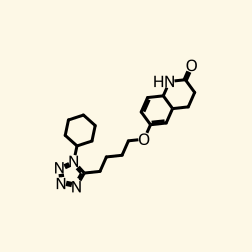 O=C1CCC2C=C(OCCCCc3nnnn3C3CCCCC3)C=CC2N1